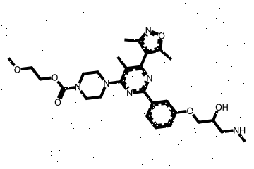 CNCC(O)COc1cccc(-c2nc(-c3c(C)noc3C)c(C)c(N3CCN(C(=O)OCCOC)CC3)n2)c1